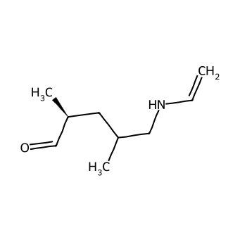 C=CNCC(C)C[C@H](C)C=O